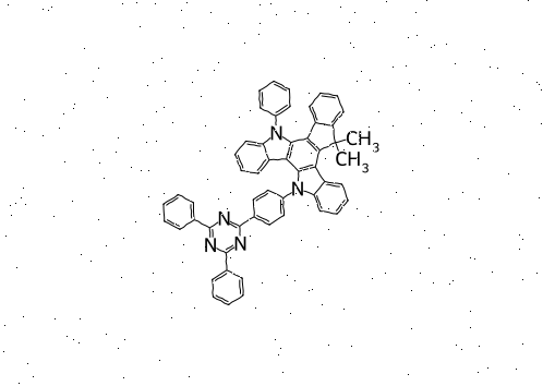 CC1(C)c2ccccc2-c2c1c1c3ccccc3n(-c3ccc(-c4nc(-c5ccccc5)nc(-c5ccccc5)n4)cc3)c1c1c3ccccc3n(-c3ccccc3)c21